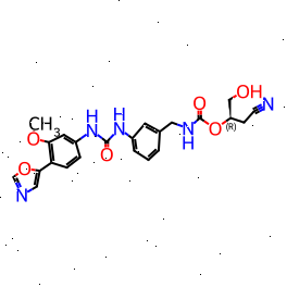 COc1cc(NC(=O)Nc2cccc(CNC(=O)O[C@@H](CO)CC#N)c2)ccc1-c1cnco1